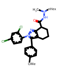 CCCCCCN(C)NC(=O)C1CCCc2c1nn(-c1ccc(Cl)cc1Cl)c2-c1ccc(OC)cc1